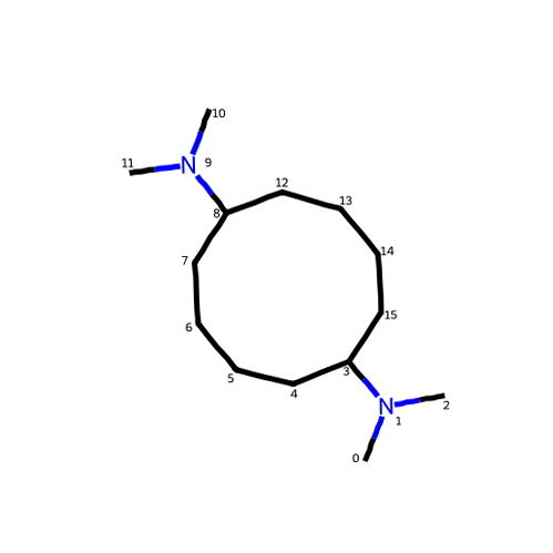 CN(C)C1CCCCC(N(C)C)CCCC1